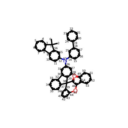 CC1(C)c2ccccc2-c2ccc(N(c3cccc(-c4ccccc4)c3)c3ccc4c(c3)-c3ccccc3C43c4ccccc4Oc4c3oc3ccccc43)cc21